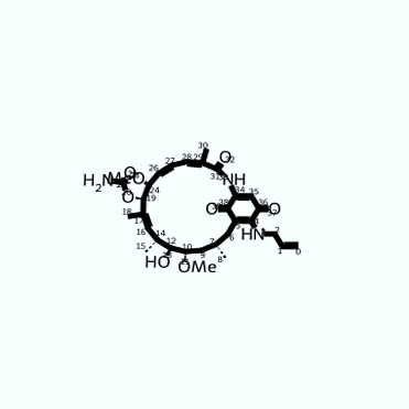 C=CCNC1=C2C[C@H](C)C[C@H](OC)[C@@H](O)[C@H](C)C=C(C)[C@H](OC(N)=O)[C@@H](OC)C=CC=C(C)C(=O)NC(=CC1=O)C2=O